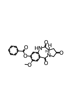 COc1cc2c(cc1OC(=O)c1ccccc1)NC(=O)[C@@H]1CC(=O)CN1C2=O